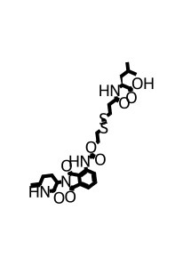 C=C1CCC(N2C(=O)c3cccc(NC(=O)OCCSSCCC(=O)N[C@@H](CC(C)C)C(=O)O)c3C2=O)C(=O)N1